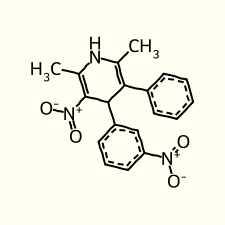 CC1=C(c2ccccc2)C(c2cccc([N+](=O)[O-])c2)C([N+](=O)[O-])=C(C)N1